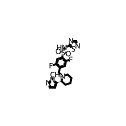 Cn1nccc1[C@H]1CCCCN1Cc1cc(F)c(S(=O)(=O)Nc2ncns2)cc1F